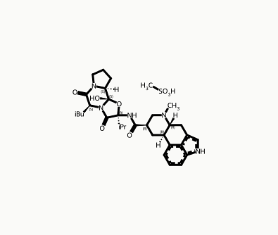 CCC(C)[C@H]1C(=O)N2CCC[C@H]2[C@]2(O)O[C@](NC(=O)[C@@H]3C[C@@H]4c5cccc6[nH]cc(c56)C[C@H]4N(C)C3)(C(C)C)C(=O)N12.CS(=O)(=O)O